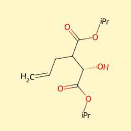 C=CCC(C(=O)OC(C)C)[C@H](O)C(=O)OC(C)C